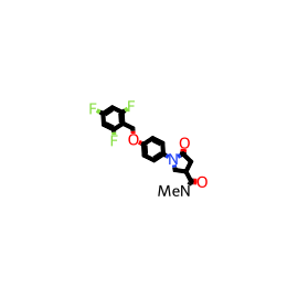 CNC(=O)C1CC(=O)N(c2ccc(OCc3c(F)cc(F)cc3F)cc2)C1